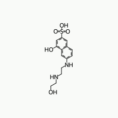 O=S(=O)(O)c1cc(O)c2cc(NCCNCCO)ccc2c1